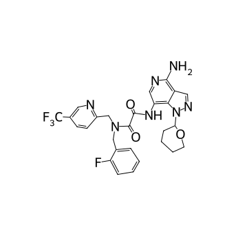 Nc1ncc(NC(=O)C(=O)N(Cc2ccc(C(F)(F)F)cn2)Cc2ccccc2F)c2c1cnn2C1CCCCO1